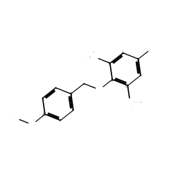 CCOc1ccc(COc2c(OC)cc(C(=O)O)cc2OC)cc1